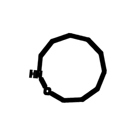 C1CCCCNOCCCC1